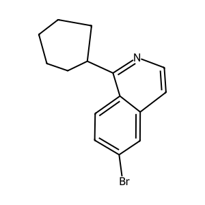 Brc1ccc2c(C3CCCCC3)nccc2c1